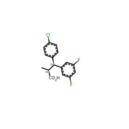 C[C@H](C(=O)O)[C@@H](c1ccc(Cl)cc1)c1cc(F)cc(F)c1